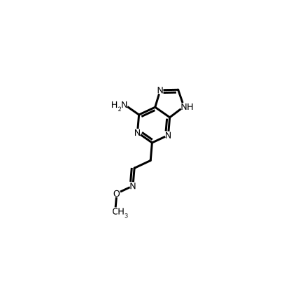 CO/N=C/Cc1nc(N)c2nc[nH]c2n1